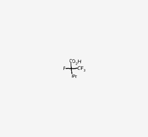 CC(C)C(F)(C(=O)O)C(F)(F)F